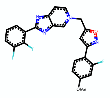 COc1ccc(-c2cc(Cn3ccc4nc(-c5cccc(F)c5F)nc-4c3)on2)c(F)c1